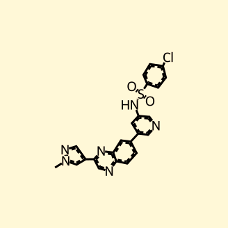 Cn1cc(-c2cnc3ccc(-c4cncc(NS(=O)(=O)c5ccc(Cl)cc5)c4)cc3n2)cn1